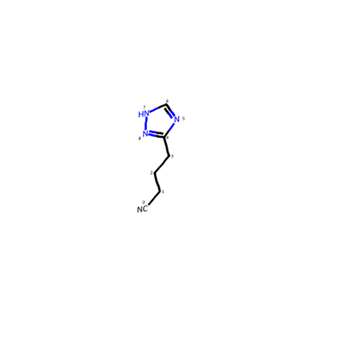 N#CCCCc1nc[nH]n1